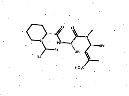 CCC(CC)N1CCCC[C@@H]1C(=O)N[C@H](C(=O)N(C)[C@H](/C=C(\C)C(=O)O)C(C)C)C(C)(C)C